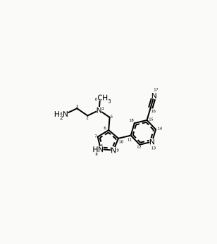 CN(CCN)Cc1c[nH]nc1-c1cncc(C#N)c1